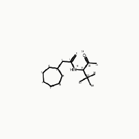 C=C(CC1CCCCCC1)NC(C(C)=O)C(C)(C)C